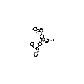 N#Cc1ccc2c(c1)c1cc(-c3cccc4c3oc3ccccc34)ccc1n2-c1ccc(C2[N@@](Cc3ccccc3)[N@@]2Cc2ccccc2)cc1